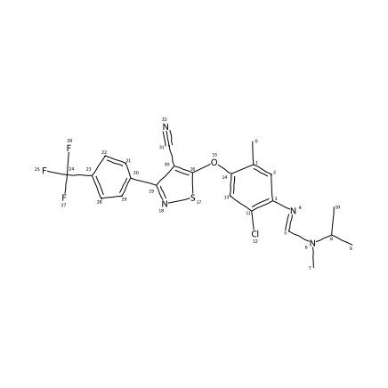 Cc1cc(N=CN(C)C(C)C)c(Cl)cc1Oc1snc(-c2ccc(C(F)(F)F)cc2)c1C#N